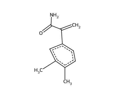 C=C(C(N)=O)c1ccc(C)c(C)c1